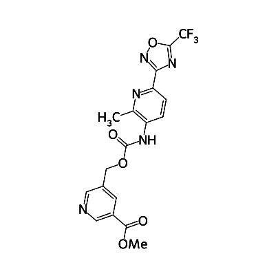 COC(=O)c1cncc(COC(=O)Nc2ccc(-c3noc(C(F)(F)F)n3)nc2C)c1